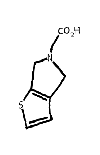 O=C(O)N1Cc2ccsc2C1